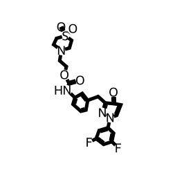 O=C(Nc1cccc(Cc2nn(-c3cc(F)cc(F)c3)ccc2=O)c1)OCCN1CCS(=O)(=O)CC1